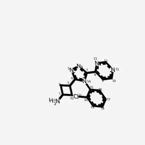 NC1CC(c2nnc(-c3ccncn3)n2-c2ccccc2Cl)C1